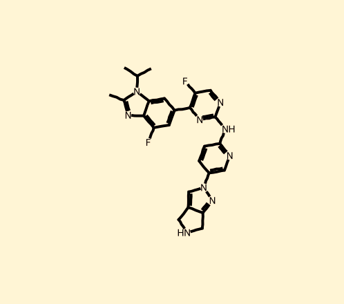 Cc1nc2c(F)cc(-c3nc(Nc4ccc(-n5cc6c(n5)CNC6)cn4)ncc3F)cc2n1C(C)C